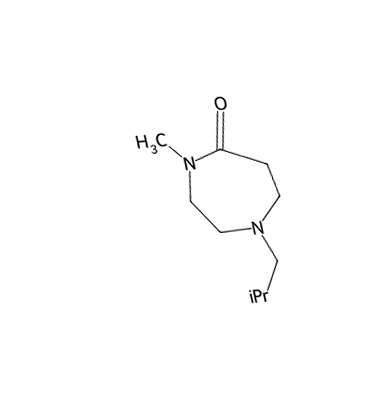 CC(C)CN1CCC(=O)N(C)CC1